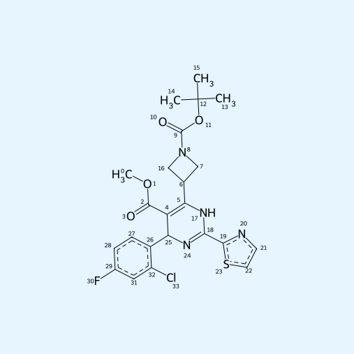 COC(=O)C1=C(C2CN(C(=O)OC(C)(C)C)C2)NC(c2nccs2)=NC1c1ccc(F)cc1Cl